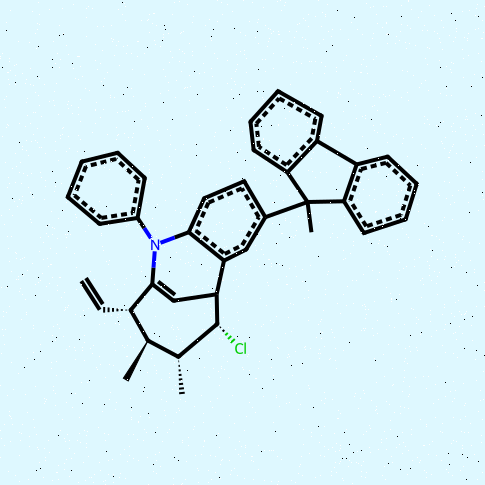 C=C[C@@H]1C2=CC(c3cc(C4(C)c5ccccc5-c5ccccc54)ccc3N2c2ccccc2)[C@H](Cl)[C@H](C)[C@H]1C